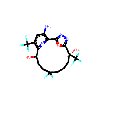 Nc1cc(C(F)(F)F)c2nc1-c1nnc(o1)[C@@](O)(C(F)(F)F)CCCC(F)(F)CCC2O